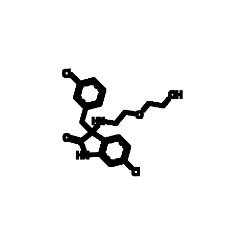 O=C1Nc2cc(Cl)ccc2C1(Cc1cccc(Cl)c1)NCCOCCO